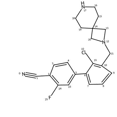 N#Cc1ccc(-c2cccc(CN3CC4(CCNCC4)C3)c2Cl)cc1F